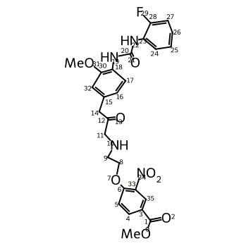 COC(=O)c1ccc(OCCNCC(=O)Cc2ccc(NC(=O)Nc3ccccc3F)c(OC)c2)c([N+](=O)[O-])c1